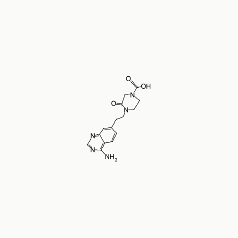 Nc1ncnc2cc(CCN3CCN(C(=O)O)CC3=O)ccc12